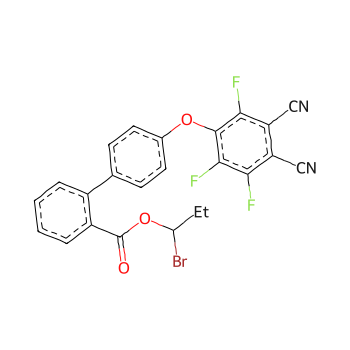 CCC(Br)OC(=O)c1ccccc1-c1ccc(Oc2c(F)c(F)c(C#N)c(C#N)c2F)cc1